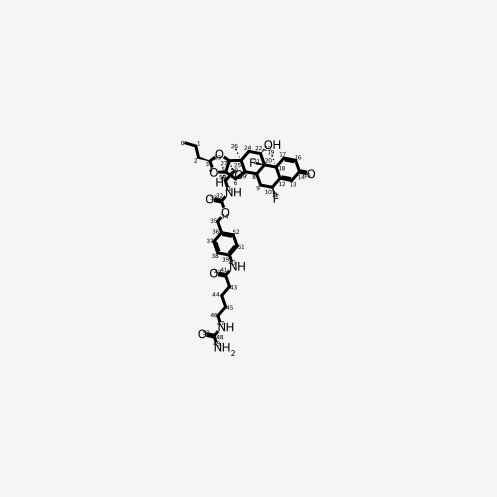 CCC[C@@H]1O[C@@H]2CC3C4C[C@H](F)C5=CC(=O)C=C[C@]5(C)[C@@]4(F)[C@@H](O)C[C@]3(C)[C@]2(C(=O)CNC(=O)OCc2ccc(NC(=O)CCCCNC(N)=O)cc2)O1